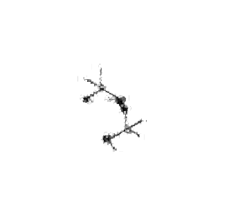 CCCCCCCCCC1CCC(CCCCCCCCC(C)(CCCCCC)n2c(=O)c3cc4c(=O)n(CCCCCCCCC5C(CCCCCCCCC(CC)(CCCCCCC)N6C(=O)C=CC6=O)CCC(CCCCCC)C5CCCCCCCC)c(=O)c4cc3c2=O)C(CCCCCCCCN2C(=O)C=CC2=O)C1CCCCCCCC